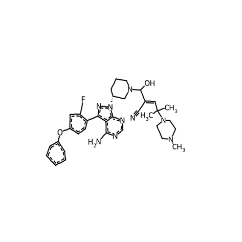 CN1CCN(C(C)(C)/C=C(\C#N)C(O)N2CCC[C@@H](n3nc(-c4ccc(Oc5ccccc5)cc4F)c4c(N)ncnc43)C2)CC1